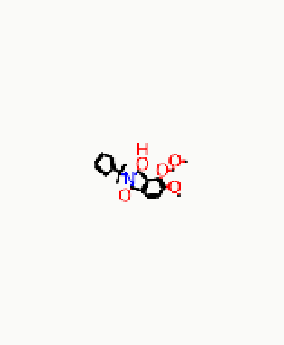 COCOc1c(OC)ccc2c1C(O)N(C(C)(C)c1ccccc1)C2=O